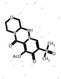 CC(=O)Oc1c2n(cc(P(C)(C)=O)c1=O)NC1COCCN1C2=O